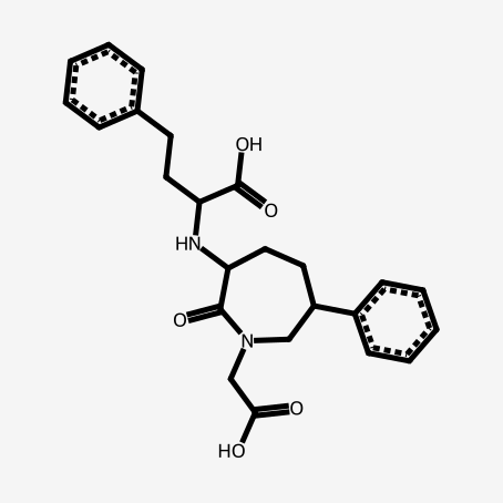 O=C(O)CN1CC(c2ccccc2)CCC(NC(CCc2ccccc2)C(=O)O)C1=O